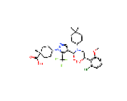 COc1cccc(Cl)c1C(O)CN(C(=O)c1cnn([C@H]2CC[C@](C)(C(=O)O)CC2)c1C(F)(F)F)C1CCC(C)(C)CC1